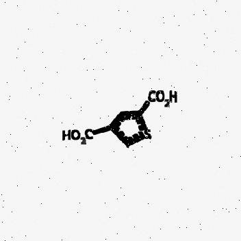 O=C(O)c1[c]sc(C(=O)O)c1